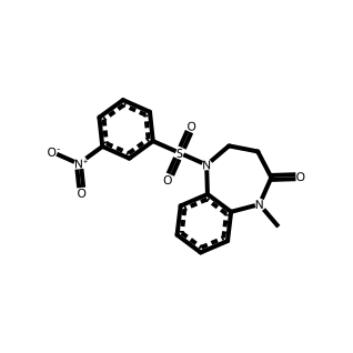 CN1C(=O)CCN(S(=O)(=O)c2cccc([N+](=O)[O-])c2)c2ccccc21